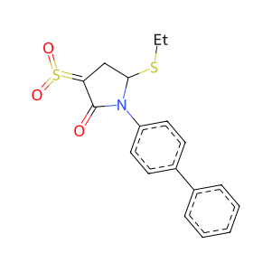 CCSC1CC(=S(=O)=O)C(=O)N1c1ccc(-c2ccccc2)cc1